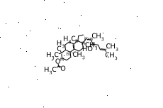 CC(=O)O[C@H]1CC[C@]2(C)C3=C(CCC2C1(C)C)[C@]1(C)CC[C@H]([C@H](C)[C@@H](O)CC=C(C)C)[C@@]1(C)CC3